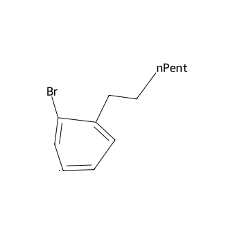 CCCCCCCc1cc[c]cc1Br